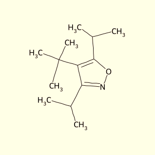 CC(C)c1noc(C(C)C)c1C(C)(C)C